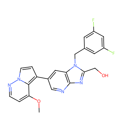 COc1ccnn2ccc(-c3cnc4nc(CO)n(Cc5cc(F)cc(F)c5)c4c3)c12